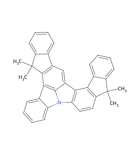 CC1(C)c2ccccc2-c2c1ccc1c2c2cc3c(c4c5ccccc5n1c24)C(C)(C)c1ccccc1-3